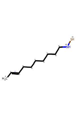 C/C=C/CCCCCCCNS